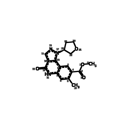 COC(=O)c1cc2c(cc1C)[nH]c(=O)c1cnn([C@H]3CCOC3)c12